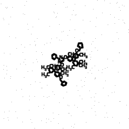 Cc1cc(C2(c3ccc(Oc4cc(Oc5ccc(C6(c7ccc(OCc8ccccc8)c(C)c7)CC(C)CC(C)(C)C6)cc5C)nc(-c5ccccc5)n4)c(C)c3)CC(C)CC(C)(C)C2)ccc1OCc1ccccc1